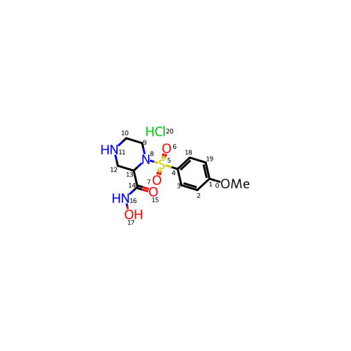 COc1ccc(S(=O)(=O)N2CCNCC2C(=O)NO)cc1.Cl